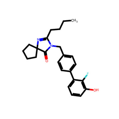 CCCCC1=NC2(CCCC2)C(=O)N1Cc1ccc(-c2cccc(O)c2F)cc1